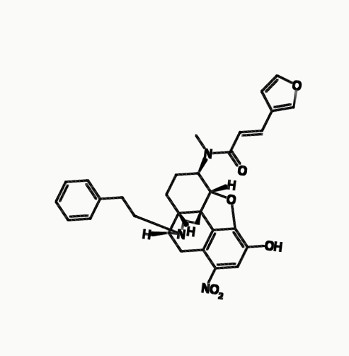 CN(C(=O)/C=C/c1ccoc1)[C@@H]1CC[C@H]2[C@H]3Cc4c([N+](=O)[O-])cc(O)c5c4[C@@]2(CCN3CCc2ccccc2)[C@H]1O5